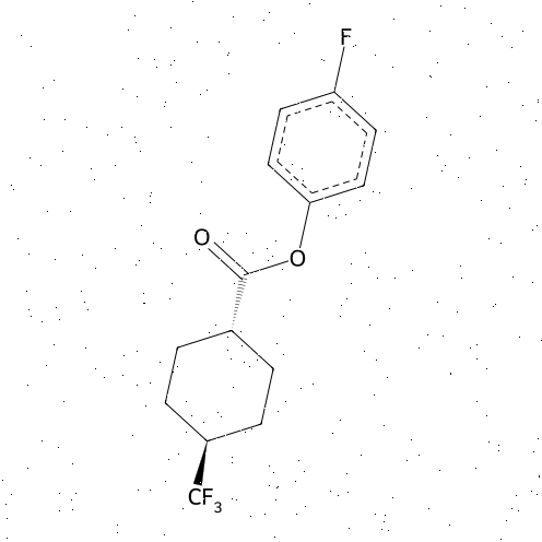 O=C(Oc1ccc(F)cc1)[C@H]1CC[C@H](C(F)(F)F)CC1